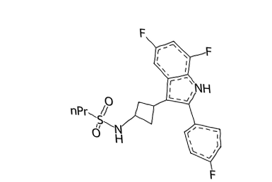 CCCS(=O)(=O)NC1CC(c2c(-c3ccc(F)cc3)[nH]c3c(F)cc(F)cc23)C1